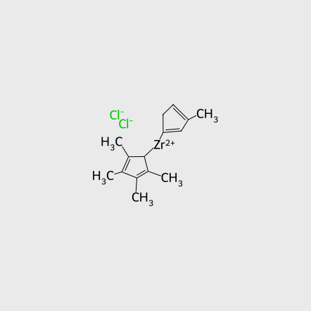 CC1=CC[C]([Zr+2][CH]2C(C)=C(C)C(C)=C2C)=C1.[Cl-].[Cl-]